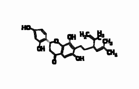 C=C(C)C(C=C(C)C)CCc1c(O)cc2c(c1O)O[C@@H](c1ccc(O)cc1O)CC2=O